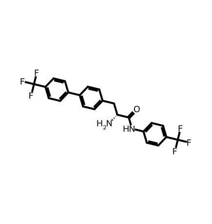 N[C@H](Cc1ccc(-c2ccc(C(F)(F)F)cc2)cc1)C(=O)Nc1ccc(C(F)(F)F)cc1